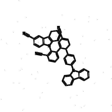 N#CC1=CCC(c2ccc(-n3c4ccccc4c4ccccc43)cc2)C(c2cccc(C#N)c2-n2c3c(c4cc(C#N)ccc42)CCC=C3)=C1